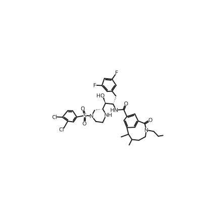 CCCN1CCC(C)C(C)c2cc(C(=O)N[C@@H](Cc3cc(F)cc(F)c3)[C@H](O)[C@H]3CN(S(=O)(=O)c4ccc(Cl)c(Cl)c4)CCN3)cc(c2)C1=O